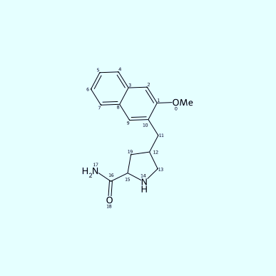 COc1cc2ccccc2cc1CC1CNC(C(N)=O)C1